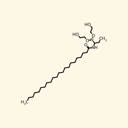 CCCCCCCCCCCCCCCCCCCCCC(=O)NC(CC)N(OCCO)OCCO